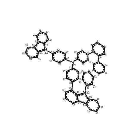 c1ccc(-c2ccccc2-c2ccc(N(c3ccc(-c4cccc5c6ccccc6n(-c6ccccc6)c45)cc3)c3ccc(-n4c5ccccc5c5ccccc54)cc3)cc2)cc1